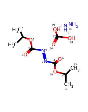 CC(C)OC(=O)N=NC(=O)OC(C)C.N.N.O=C(O)O